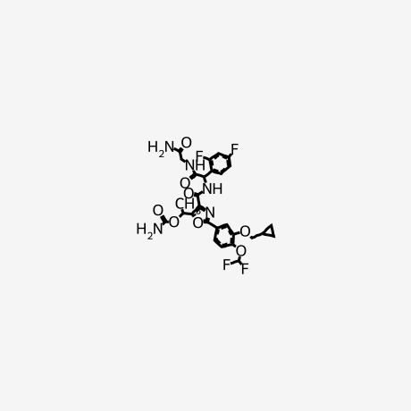 CC(OC(N)=O)c1oc(-c2ccc(OC(F)F)c(OCC3CC3)c2)nc1C(=O)NC(C(=O)NCC(N)=O)c1ccc(F)cc1F